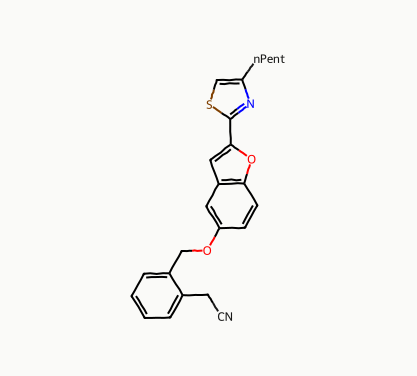 CCCCCc1csc(-c2cc3cc(OCc4ccccc4CC#N)ccc3o2)n1